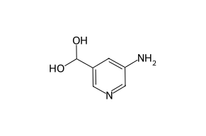 Nc1cncc(C(O)O)c1